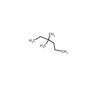 CCCC(C)(C)CC